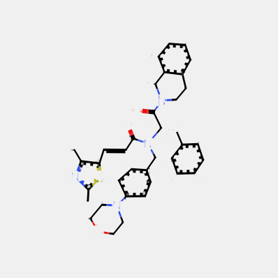 Cc1nc(C)c(C=CC(=O)N(Cc2ccc(N3CCOCC3)cc2)[C@@H](Cc2ccccc2)C(=O)N2CCc3ccccc3C2)s1